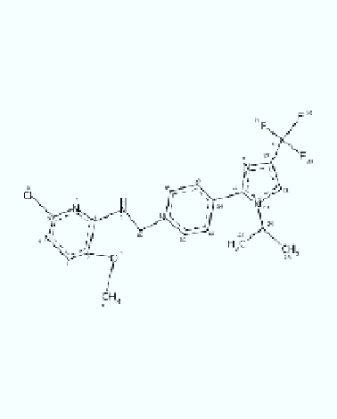 COc1cnc(Cl)nc1NCc1ccc(-c2nc(C(F)(F)F)cn2C(C)C)cc1